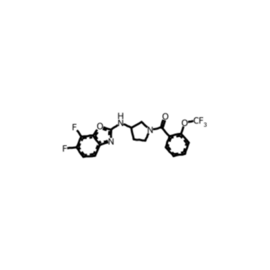 O=C(c1ccccc1OC(F)(F)F)N1CCC(Nc2nc3ccc(F)c(F)c3o2)C1